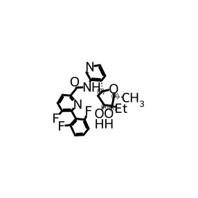 CC[C@@]1(O)[C@H](O)C[C@H](c2ccncc2NC(=O)c2ccc(F)c(-c3c(F)cccc3F)n2)O[C@@H]1C